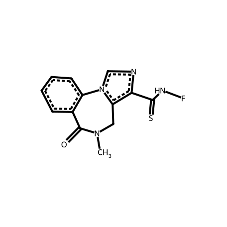 CN1Cc2c(C(=S)NF)ncn2-c2ccccc2C1=O